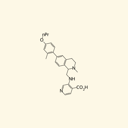 CCCOc1ccc(-c2ccc3c(c2)CCN(C)C3CNc2cnccc2C(=O)O)c(C)c1